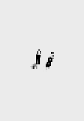 [O]=[BiH].[O]=[Cu]